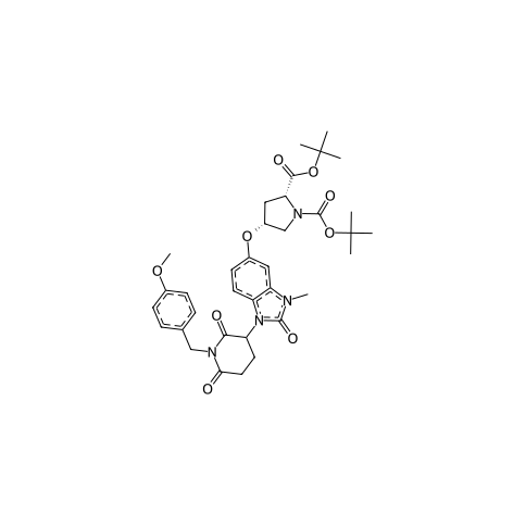 COc1ccc(CN2C(=O)CCC(n3c(=O)n(C)c4cc(O[C@@H]5C[C@H](C(=O)OC(C)(C)C)N(C(=O)OC(C)(C)C)C5)ccc43)C2=O)cc1